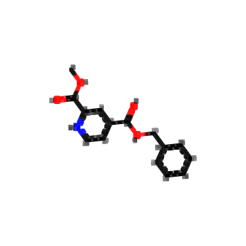 COC(=O)c1cc(C(=O)OCc2ccccc2)ccn1